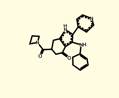 O=C1CC(C(=O)N2CCC2)Cc2[nH]c(-c3ccncc3)c(NC3=CC=CCC3)c21